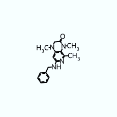 Cc1nc(NCc2ccccc2)cc2c1N(C)C(=O)CN2C